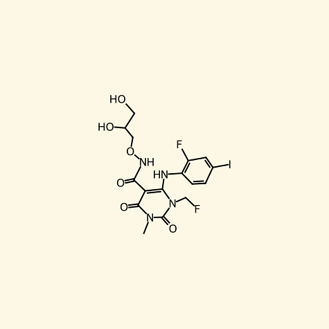 Cn1c(=O)c(C(=O)NOCC(O)CO)c(Nc2ccc(I)cc2F)n(CF)c1=O